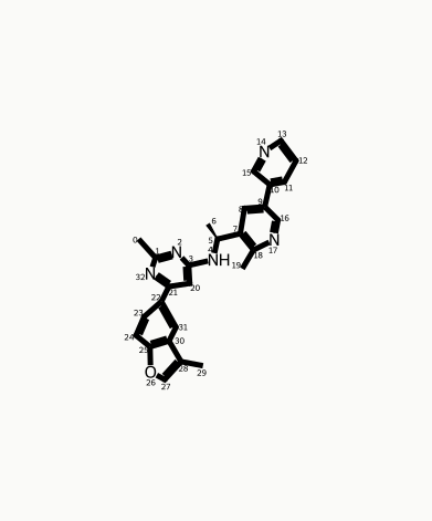 Cc1nc(N[C@@H](C)c2cc(-c3cccnc3)cnc2C)cc(-c2ccc3occ(C)c3c2)n1